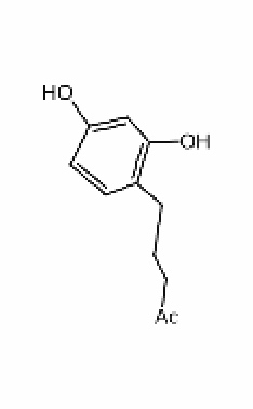 CC(=O)CCCc1ccc(O)cc1O